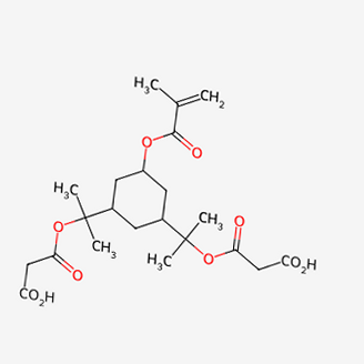 C=C(C)C(=O)OC1CC(C(C)(C)OC(=O)CC(=O)O)CC(C(C)(C)OC(=O)CC(=O)O)C1